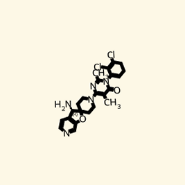 Cc1c(N2CCC3(CC2)Oc2cnccc2[C@H]3N)nc(C)n(C2=CCCC(Cl)=C2Cl)c1=O